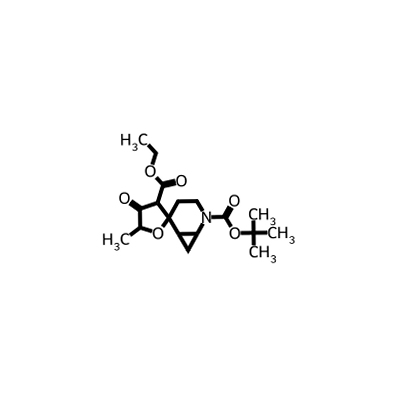 CCOC(=O)C1C(=O)C(C)OC12CCN(C(=O)OC(C)(C)C)C1CC12